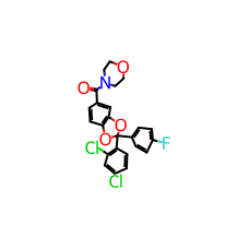 O=C(c1ccc2c(c1)OC(c1ccc(F)cc1)(c1ccc(Cl)cc1Cl)O2)N1CCOCC1